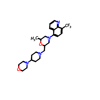 CC1CN(c2ccc(C(F)(F)F)c3ncccc23)CC(CN2CCC(N3CCOCC3)CC2)O1